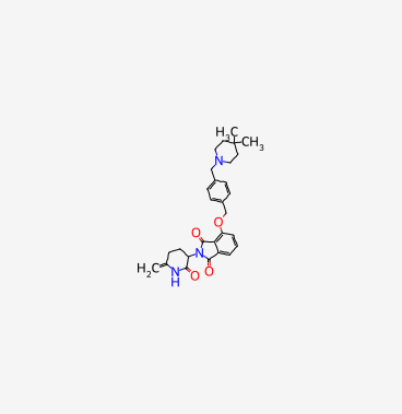 C=C1CCC(N2C(=O)c3cccc(OCc4ccc(CN5CCC(C)(C)CC5)cc4)c3C2=O)C(=O)N1